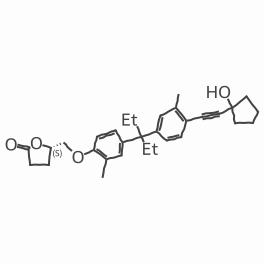 CCC(CC)(c1ccc(C#CC2(O)CCCC2)c(C)c1)c1ccc(OC[C@@H]2CCC(=O)O2)c(C)c1